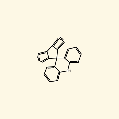 c1ccc2c(c1)Pc1ccccc1C21c2ccccc2-c2ccccc21